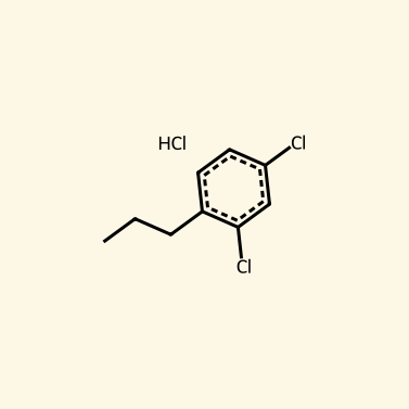 CCCc1ccc(Cl)cc1Cl.Cl